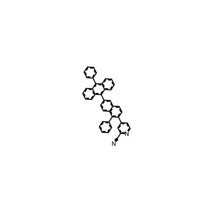 N#Cc1cc(-c2ccc3cc(-c4c5ccccc5c(-c5ccccc5)c5ccccc45)ccc3c2-c2ccccc2)ccn1